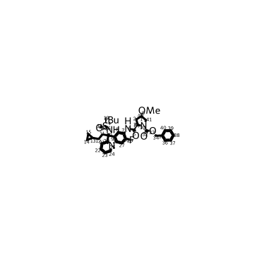 CO[C@@H]1C[C@H](C(=O)Nc2cc(C(CCC3CC3)(N[S@@+]([O-])C(C)(C)C)c3ccccn3)ccc2F)N(C(=O)OCc2ccccc2)C1